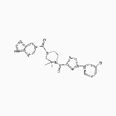 CC1(C)CN(C(=O)c2cnc3[nH]ccc3c2)CCN1C(=O)c1ncn(-c2cccc(Cl)c2)n1